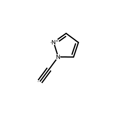 [C]#CN1C=CC=[N+]1